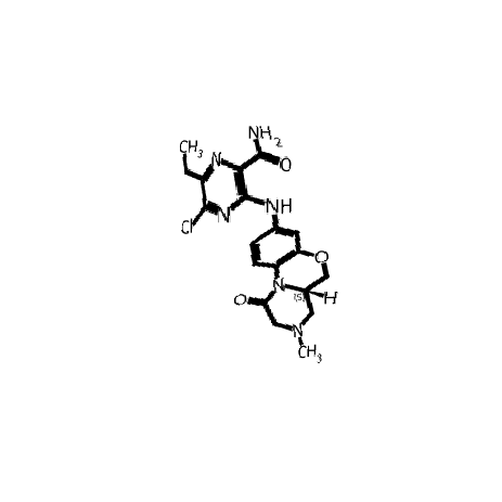 CCc1nc(C(N)=O)c(Nc2ccc3c(c2)OC[C@@H]2CN(C)CC(=O)N32)nc1Cl